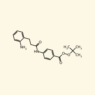 CC(C)(C)OOC(=O)c1ccc(NC(=O)CCc2ccccc2N)cc1